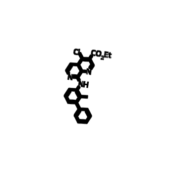 CCOC(=O)C1=C(Cl)C2C=CN=C(Nc3cccc(-c4ccccc4)c3C)C2N=C1